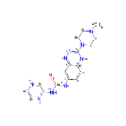 CN1CCN(c2nnc3cc(NC(=O)Nc4cnccn4)ccc3n2)CC1